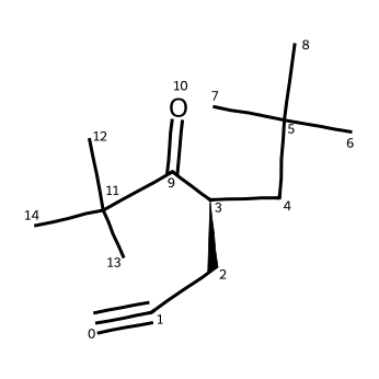 C#CC[C@H](CC(C)(C)C)C(=O)C(C)(C)C